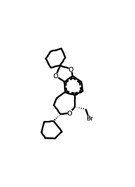 BrC[C@@H]1O[C@H](C2CCCCC2)CCc2c1ccc1c2OC2(CCCCC2)O1